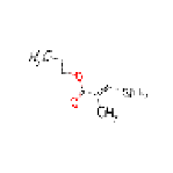 CCCOC(=O)C(C)=C[SiH3]